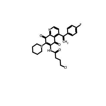 C=C(c1ccc(F)cc1)c1ccnc2c1C(=O)C(NC(=O)CCCCl)=C(N1CCCCC1)C2=O